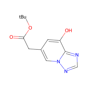 CC(C)(C)OC(=O)Cc1cc(O)c2ncnn2c1